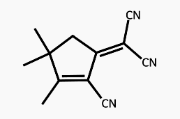 CC1=C(C#N)C(=C(C#N)C#N)CC1(C)C